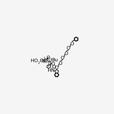 C[C@@H](C(=O)N[C@H](C(=O)N1CCC[C@H]1C(=O)N[C@H]1c2ccccc2C[C@H]1OCCOCCOCCOCCOCCOCc1ccccc1)C(C)(C)C)N(C)C(=O)O